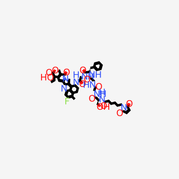 CC[C@@]1(O)C(=O)OCc2c1cc1n(c2=O)Cc2c-1nc1cc(F)c(C)c3c1c2[C@@H](NC(=O)CNC(=O)[C@H](Cc1ccccc1)NC(=O)CNC(=O)CNC(=O)[C@H](CO)NC(=O)CCCCCN1C(=O)C=CC1=O)CC3